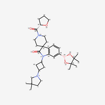 CC1(C)CCN(C2CC(N3C(=O)C4(CCN(C(=O)[C@@H]5CCCO5)CC4)c4ccc(B5OC(C)(C)C(C)(C)O5)cc43)C2)C1